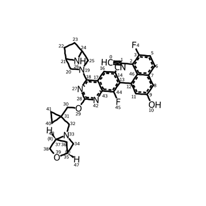 C#Cc1c(F)ccc2cc(O)cc(-c3c(C#N)cc4c(N5CC6CCC(C5)N6)nc(OCC5(CN6C[C@H]7C[C@@H]6CO7)CC5)nc4c3F)c12